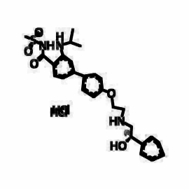 CC(C)Nc1cc(-c2ccc(OCCNC[C@H](O)c3ccccc3)cc2)ccc1C(=O)NS(C)(=O)=O.Cl.Cl